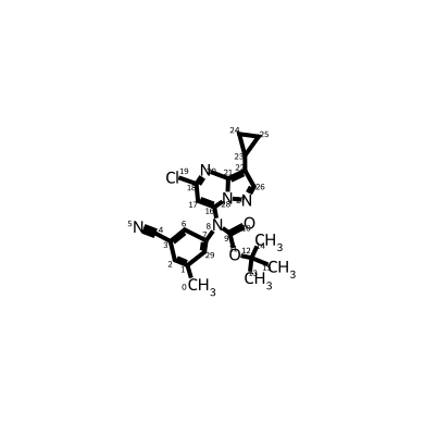 Cc1cc(C#N)cc(N(C(=O)OC(C)(C)C)c2cc(Cl)nc3c(C4CC4)cnn23)c1